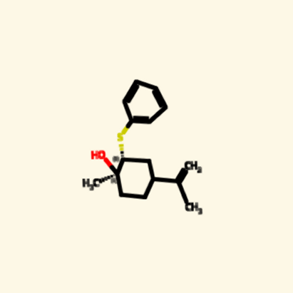 C=C(C)C1CC[C@@](C)(O)[C@H](Sc2ccccc2)C1